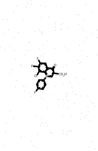 O=C(O)c1cn(-c2ccc(F)cc2)c2c(Cl)c(F)c(F)cc2c1=O